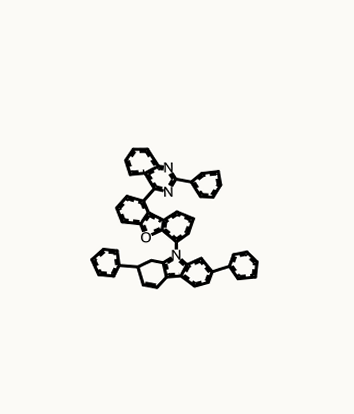 C1=CC(c2ccccc2)Cc2c1c1ccc(-c3ccccc3)cc1n2-c1cccc2c1oc1cccc(-c3nc(-c4ccccc4)nc4ccccc34)c12